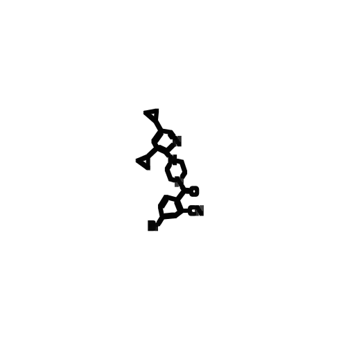 N#Cc1cc(Br)ccc1C(=O)N1CCN(c2ncc(C3CC3)cc2C2CC2)CC1